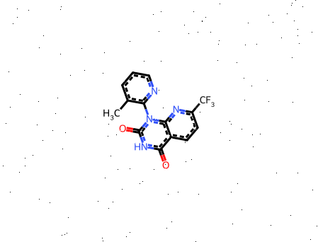 Cc1cccnc1-n1c(=O)[nH]c(=O)c2ccc(C(F)(F)F)nc21